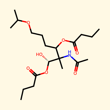 CCCC(=O)OC(CCCOC(C)C)C(C)(NC(C)=O)[C@@H](O)OC(=O)CCC